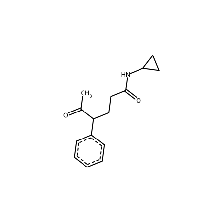 CC(=O)C(CCC(=O)NC1CC1)c1ccccc1